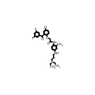 CCN(CC)CCCNc1ccc(NC(=O)COc2ccc(Cl)cc2C(=O)c2cc(F)cc(F)c2)c(C)c1